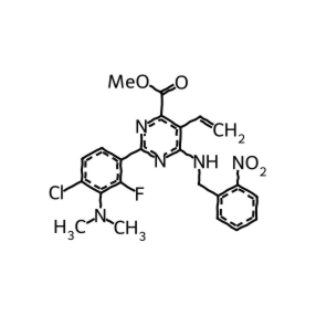 C=Cc1c(NCc2ccccc2[N+](=O)[O-])nc(-c2ccc(Cl)c(N(C)C)c2F)nc1C(=O)OC